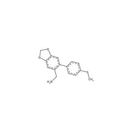 CSc1ccc(-c2cc3c(cc2CN)OCO3)cc1